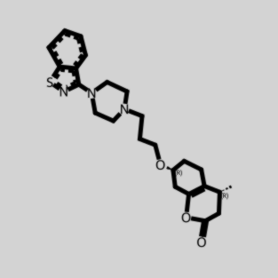 C[C@@H]1CC(=O)OC2=C1CC[C@@H](OCCCN1CCN(c3nsc4ccccc34)CC1)C2